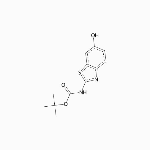 CC(C)(C)OC(=O)Nc1nc2ccc(O)cc2s1